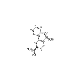 O=C(O)c1[c]cc([N+](=O)[O-])cc1-c1ccccc1